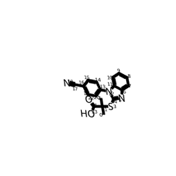 CC(C)(Sc1nc2ccccc2n1-c1ccc(C#N)cc1)C(=O)O